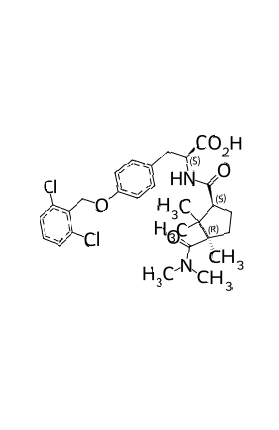 CN(C)C(=O)[C@]1(C)CC[C@H](C(=O)N[C@@H](Cc2ccc(OCc3c(Cl)cccc3Cl)cc2)C(=O)O)C1(C)C